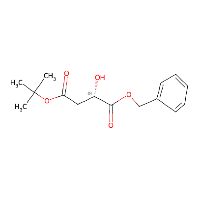 CC(C)(C)OC(=O)C[C@H](O)C(=O)OCc1ccccc1